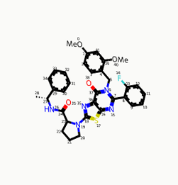 COc1ccc(Cn2c(-c3ccccc3F)nc3sc(N4CCCC4C(=O)N[C@H](C)c4ccccc4)nc3c2=O)c(OC)c1